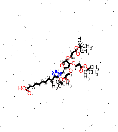 CC(C)(C)OC(=O)/C=C/O[C@H]1[C@H](O/C=C/C(=O)OC(C)(C)C)[C@@H](Cn2cc(CCCCCCCCC(=O)O)nn2)OC[C@@H]1O/C=C/C(=O)OC(C)(C)C